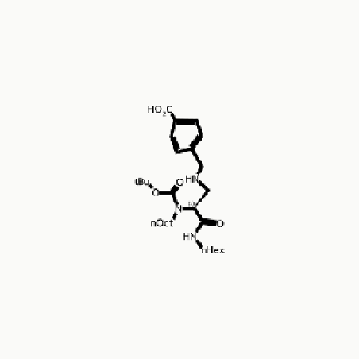 CCCCCCCCN(C(=O)OC(C)(C)C)[C@@H](CNCc1ccc(C(=O)O)cc1)C(=O)NCCCCCC